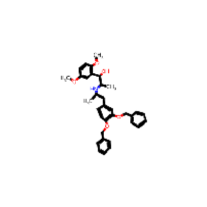 COc1ccc(OC)c(C(O)C(C)NC(C)Cc2ccc(OCc3ccccc3)c(OCc3ccccc3)c2)c1